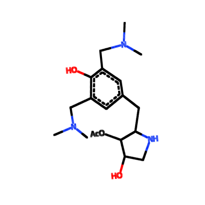 CC(=O)OC1C(O)CNC1Cc1cc(CN(C)C)c(O)c(CN(C)C)c1